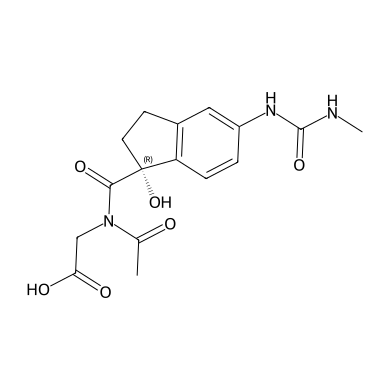 CNC(=O)Nc1ccc2c(c1)CC[C@]2(O)C(=O)N(CC(=O)O)C(C)=O